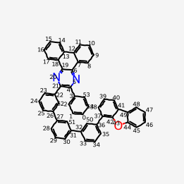 c1ccc(-c2nc3c4ccccc4c4ccccc4c3nc2-c2cccc(-c3cccc(-c4cccc(-c5cccc6c5oc5ccccc56)c4)c3)c2)cc1